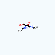 CCNCC(O)C(CO)NCC